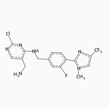 Cn1cc(C(F)(F)F)nc1-c1ccc(CNc2nc(Cl)ncc2CN)cc1F